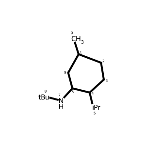 CC1CCC(C(C)C)C(NC(C)(C)C)C1